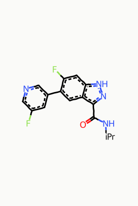 CC(C)NC(=O)c1n[nH]c2cc(F)c(-c3cncc(F)c3)cc12